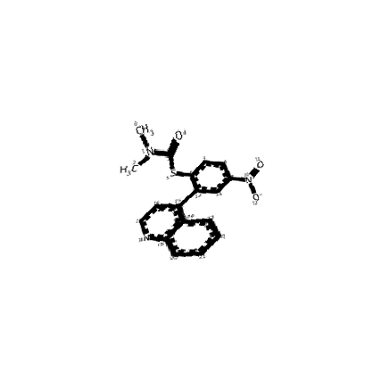 CN(C)C(=O)Sc1ccc([N+](=O)[O-])cc1-c1ccnc2ccccc12